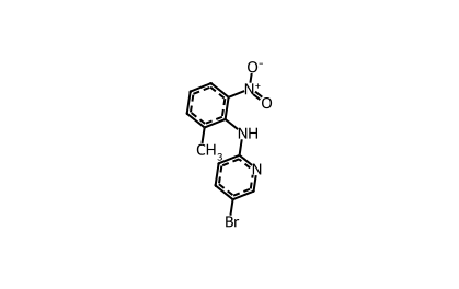 Cc1cccc([N+](=O)[O-])c1Nc1ccc(Br)cn1